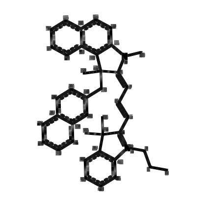 CCC[N+]1=C(/C=C/C=C2/N(C)c3ccc4ccccc4c3C2(C)Cc2ccc3ccccc3c2)C(C)(C)c2ccccc21